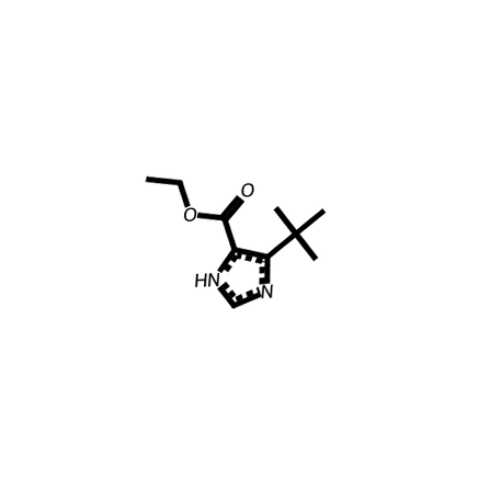 CCOC(=O)c1[nH]cnc1C(C)(C)C